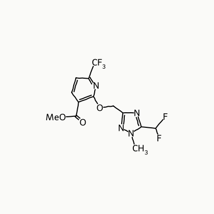 COC(=O)c1ccc(C(F)(F)F)nc1OCc1nc(C(F)F)n(C)n1